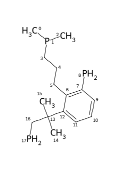 CP(C)CCCc1c(P)cccc1C(C)(C)CP